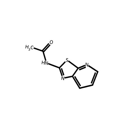 CC(=O)Nc1nc2cccnc2s1